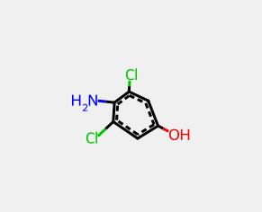 Nc1c(Cl)cc(O)cc1Cl